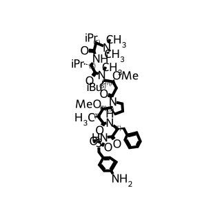 CC[C@H](C)[C@@H]([C@@H](CC(=O)N1CCC[C@H]1[C@H](OC)[C@@H](C)C(=O)N[C@@H](Cc1ccccc1)C(=O)NS(=O)(=O)Cc1ccc(N)cc1)OC)N(C)C(=O)[C@@H](NC(=O)[C@H](C(C)C)N(C)C)C(C)C